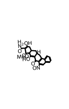 CO[C@@]12C(=O)C(C(N)=O)=C(O)CC1C[C@@H]1Cc3c(c(N=O)cc4ccccc34)C(=O)C1=C2O